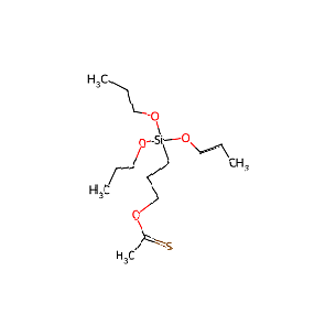 CCCO[Si](CCCOC(C)=S)(OCCC)OCCC